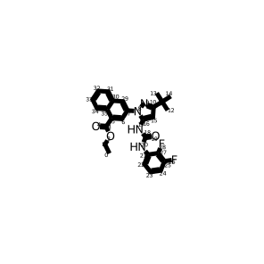 CCOC(=O)c1cc(-n2nc(C(C)(C)C)cc2NC(=O)Nc2cccc(F)c2F)cc2ccccc12